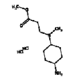 COC(=O)CCN(C)C1CCC(N)CC1.Cl.Cl